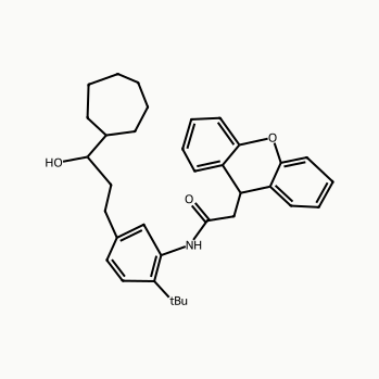 CC(C)(C)c1ccc(CCC(O)C2CCCCCC2)cc1NC(=O)CC1c2ccccc2Oc2ccccc21